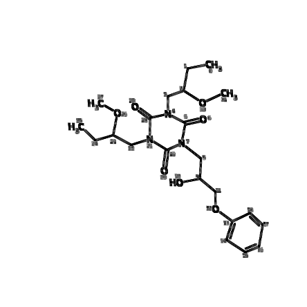 CCC(Cn1c(=O)n(CC(O)COc2ccccc2)c(=O)n(CC(CC)OC)c1=O)OC